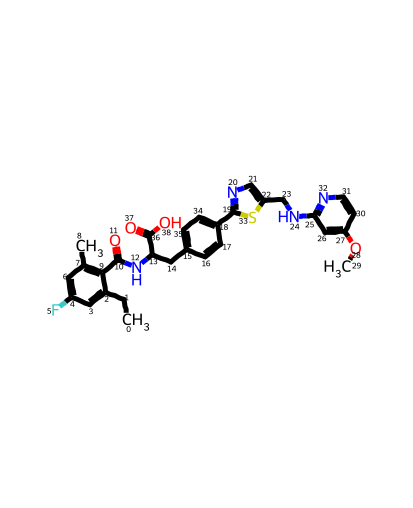 CCc1cc(F)cc(C)c1C(=O)NC(Cc1ccc(-c2ncc(CNc3cc(OC)ccn3)s2)cc1)C(=O)O